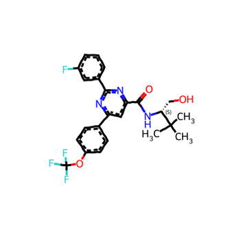 CC(C)(C)[C@@H](CO)NC(=O)c1cc(-c2ccc(OC(F)(F)F)cc2)nc(-c2cccc(F)c2)n1